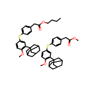 CCCCOC(=O)Cc1ccc(Sc2ccc(OC)c(C34CC5CC(CC(C5)C3)C4)c2)cc1.COC(=O)Cc1ccc(Sc2ccc(OC)c(C34CC5CC(CC(C5)C3)C4)c2)cc1